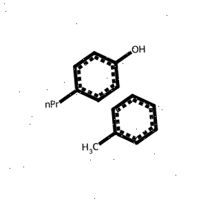 CCCc1ccc(O)cc1.Cc1ccccc1